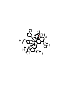 CC1=CC(C)[C]([Zr+2](=[C](c2cccc(Cl)c2)c2cccc(Cl)c2)[CH]2c3cc4c(cc3-c3cc5c(cc32)C(C)(C)CC=C5C)C(C)=CCC4(C)C)=C1.[Cl-].[Cl-]